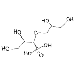 O=P(O)(O)C(OCC(O)CO)C(O)CO